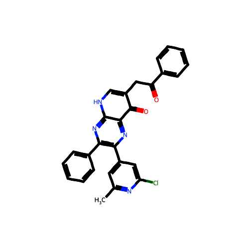 Cc1cc(-c2nc3c(=O)c(CC(=O)c4ccccc4)c[nH]c3nc2-c2ccccc2)cc(Cl)n1